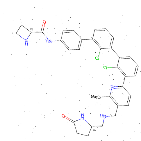 COc1nc(-c2cccc(-c3cccc(-c4ccc(NC(=O)[C@H]5CCN5)cc4)c3Cl)c2Cl)ccc1CNC[C@@H]1CCC(=O)N1